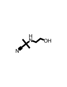 CC(C)(C#N)NCCO